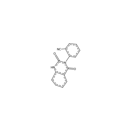 N#Cc1ccccc1-n1c(=O)[nH]c2ccccc2c1=O